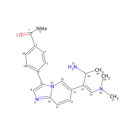 CNC(=O)c1ccc(-c2cnc3ccc(/C(=C/N(C)C)C(C)N)cn23)cc1